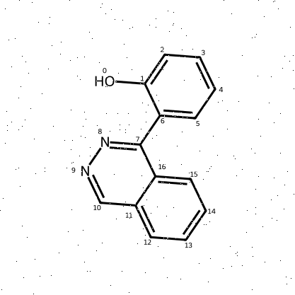 Oc1ccccc1-c1nncc2ccccc12